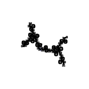 C=CC(=O)OCCCCn1c(=O)n(CCCCOC(=O)C=C)c(=O)n(CCCCOC(=O)/C=C/C=C\C(=O)OCCCn2c(=O)n(CCCOC(=O)C=C)c(=O)n(CCCOC(=O)C=C)c2=O)c1=O